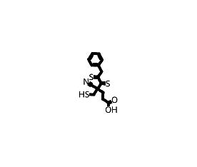 N#CC(CS)(CCC(=O)O)C(=S)C(=S)Cc1ccccc1